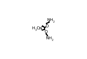 CN1CC(OCCN)C(OCCN)C1